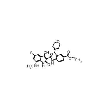 CCOC(=O)c1ccc(NC(=O)c2c(O)c3cc(F)cc(NC)c3[nH]c2=O)c(CN2CCOCC2)c1